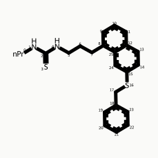 CCCNC(=S)NCCCc1cccc2ccc(SCc3ccccc3)cc12